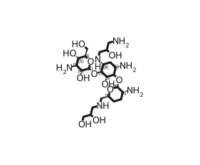 NCC(O)CN[C@@H]1C[C@H](N)C(O[C@H]2O[C@H](CNCC(O)CO)CC[C@H]2N)[C@H](O)[C@H]1O[C@H]1O[C@H](CO)[C@@H](O)[C@H](N)[C@H]1O